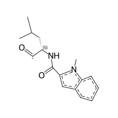 CC(C)C[C@@H]([C]=O)NC(=O)c1cc2ccccc2n1C